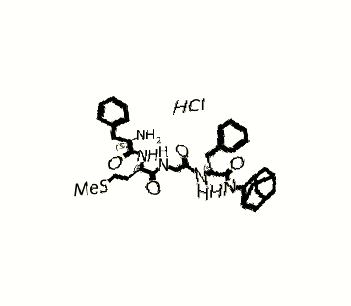 CSCC[C@@H](NC(=O)[C@@H](N)Cc1ccccc1)C(=O)NCC(=O)N[C@@H](Cc1ccccc1)C(=O)NC1C2CC3CC(C2)CC1C3.Cl